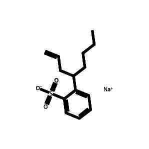 C=CCC(CCCC)c1ccccc1S(=O)(=O)[O-].[Na+]